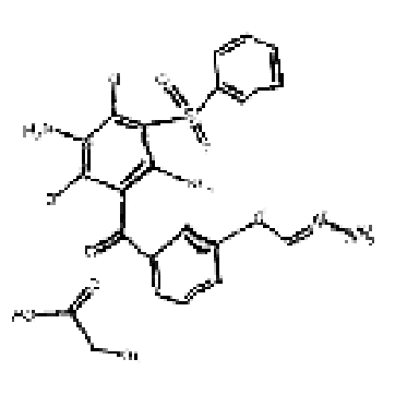 CCC(=O)O.NN=CNc1cccc(C(=O)c2c(N)c(S(=O)(=O)c3ccccc3)c(Cl)c(N)c2Cl)c1